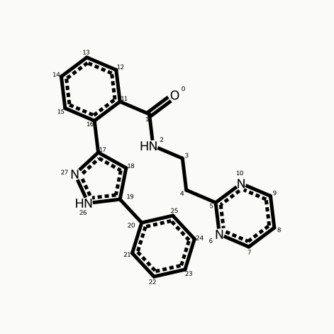 O=C(NCCc1ncccn1)c1ccccc1-c1cc(-c2ccccc2)[nH]n1